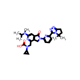 CC(C)N(C)c1cc2c(c(CN(C(=O)O)C3CC3)n1)CN(c1cccc(-c3nnc4n3C(C)(C)CC4)n1)C2=O